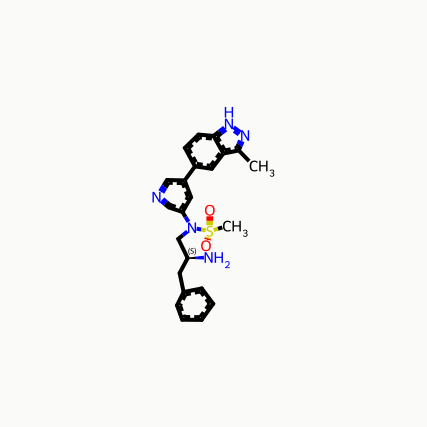 Cc1n[nH]c2ccc(-c3cncc(N(C[C@@H](N)Cc4ccccc4)S(C)(=O)=O)c3)cc12